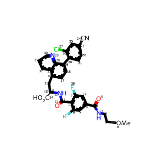 COCCNC(=O)c1cc(F)c(C(=O)N[C@@H](Cc2ccc(-c3ccc(C#N)cc3Cl)c3ncccc23)C(=O)O)c(F)c1